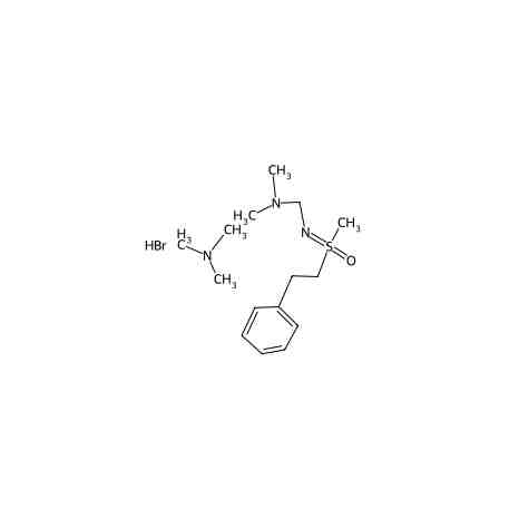 Br.CN(C)C.CN(C)CN=S(C)(=O)CCc1ccccc1